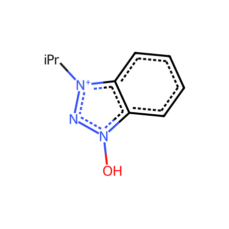 CC(C)[n+]1nn(O)c2ccccc21